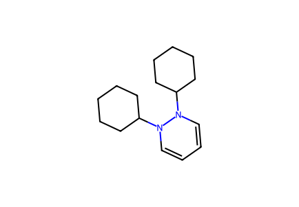 C1=CN(C2CCCCC2)N(C2CCCCC2)C=C1